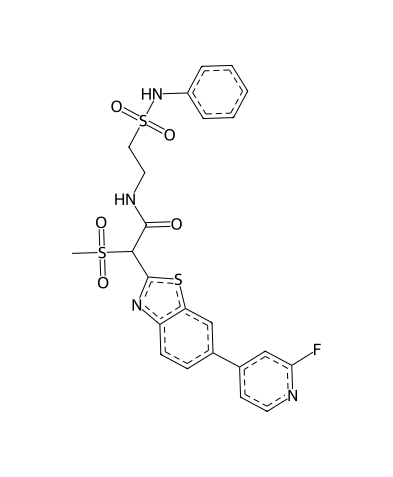 CS(=O)(=O)C(C(=O)NCCS(=O)(=O)Nc1ccccc1)c1nc2ccc(-c3ccnc(F)c3)cc2s1